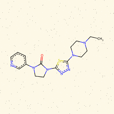 CCN1CCN(c2nnc(N3CCN(c4cccnc4)C3=O)s2)CC1